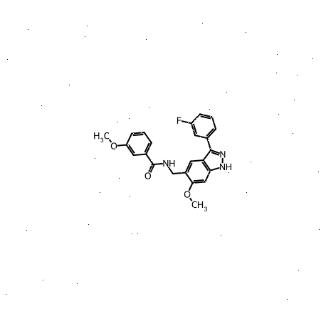 COc1cccc(C(=O)NCc2cc3c(-c4cccc(F)c4)n[nH]c3cc2OC)c1